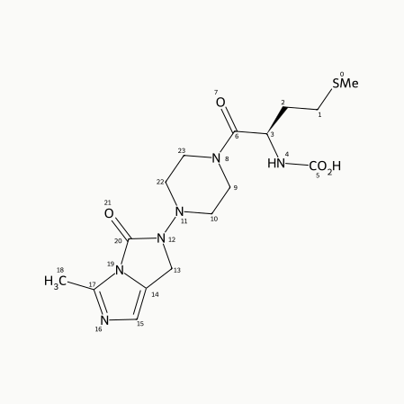 CSCC[C@@H](NC(=O)O)C(=O)N1CCN(N2Cc3cnc(C)n3C2=O)CC1